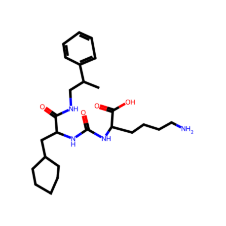 CC(CNC(=O)C(CC1CCCCC1)NC(=O)NC(CCCCN)C(=O)O)c1ccccc1